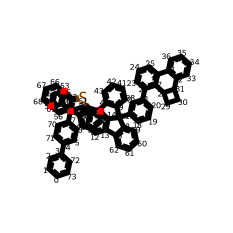 c1ccc(-c2ccc(C(Cc3ccc4c(c3)C(c3cccc(-c5cccc6c5C5CCC5c5ccccc5-6)c3)(c3ccccc3-c3cccc5c3sc3ccccc35)c3ccccc3-4)c3ccccc3)cc2)cc1